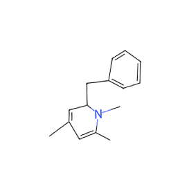 CC1=CC(Cc2ccccc2)N(C)C(C)=C1